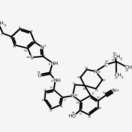 CCc1ccc2nc(NC(=O)Nc3ccccc3N3CC4(CCN(CC(C)(C)C)CC4)c4c(C#N)ccc(O)c43)sc2c1